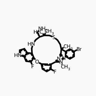 Cn1nc2nc1-c1cc(ccc1F)Oc1c(F)cc3[nH]ccc3c1CNCC(CN)C(C)(C)CSCCC2(C)c1cccc(Br)c1